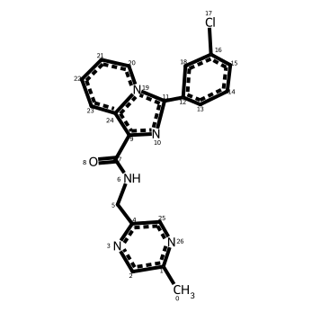 Cc1cnc(CNC(=O)c2nc(-c3cccc(Cl)c3)n3ccccc23)cn1